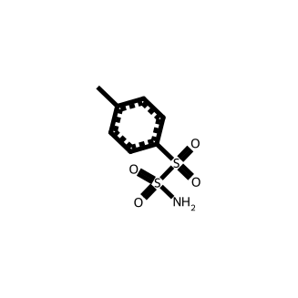 Cc1ccc(S(=O)(=O)S(N)(=O)=O)cc1